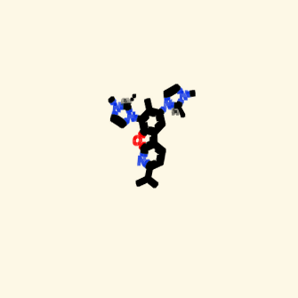 Cc1c(N2C=CN(C)[C@H]2C)cc2c(oc3nc(C(C)C)ccc32)c1N1C=CN(C)[C@@H]1C